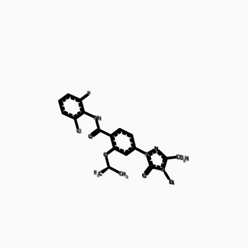 CCn1c(C(=O)O)nn(-c2ccc(C(=O)Nc3c(F)cccc3Cl)c(O[C@@H](C)C(F)(F)F)c2)c1=O